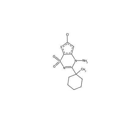 CC1(C2=NS(=O)(=O)c3sc(Cl)cc3N2N)CCCCC1